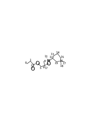 CCC(=O)OCC(C)(C)O[C@H](C)C1CCCC(C)(C)C1